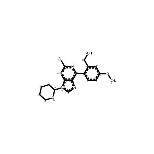 COc1ccc(-c2nc(Cl)nc3c2ncn3C2CCCCO2)c(CO)c1